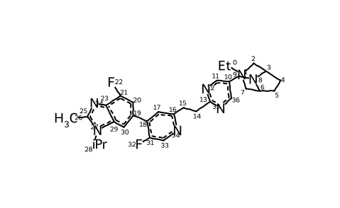 CCN1CC2CCC(C1)N2Cc1cnc(CCc2cc(-c3cc(F)c4nc(C)n(C(C)C)c4c3)c(F)cn2)nc1